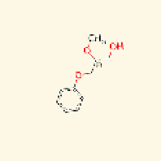 CO[C@H](CO)COc1ccccc1